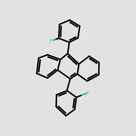 Fc1ccccc1-c1c2ccccc2c(-c2ccccc2F)c2ccccc12